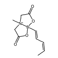 C/C=C\C=C\[B-]12OC(=O)C[N+]1(C)CC(=O)O2